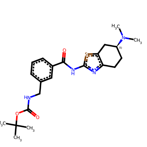 CN(C)[C@H]1CCc2nc(NC(=O)c3cccc(CNC(=O)OC(C)(C)C)c3)sc2C1